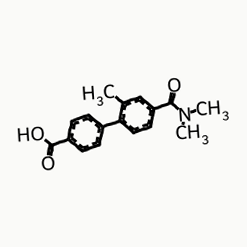 Cc1cc(C(=O)N(C)C)ccc1-c1ccc(C(=O)O)cc1